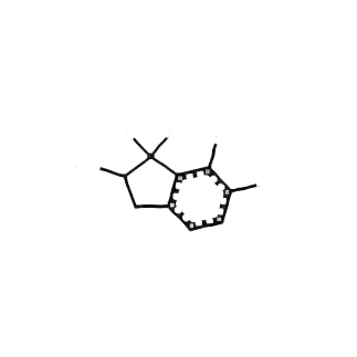 Cc1ccc2c(c1F)C(F)(F)C(C)C2